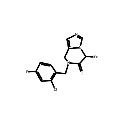 CC(C)C1C(=O)N(Cc2ccc(F)cc2Cl)Cc2cncn21